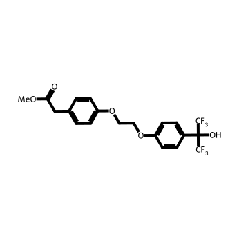 COC(=O)Cc1ccc(OCCOc2ccc(C(O)(C(F)(F)F)C(F)(F)F)cc2)cc1